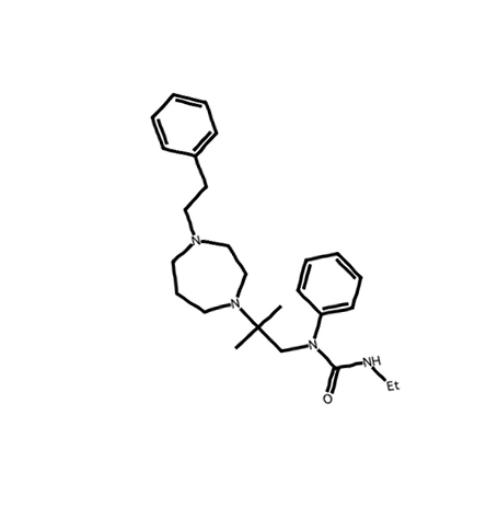 CCNC(=O)N(CC(C)(C)N1CCCN(CCc2ccccc2)CC1)c1ccccc1